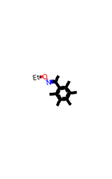 CCON=C(C)c1c(C)c(C)c(C)c(C)c1C